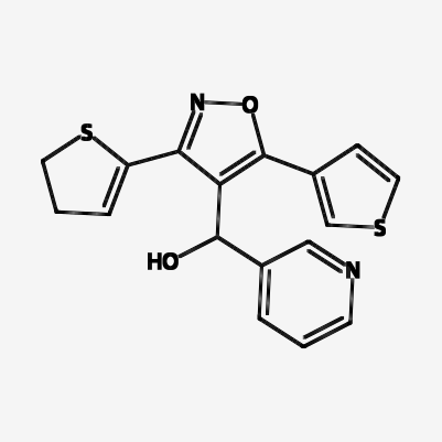 OC(c1cccnc1)c1c(C2=CCCS2)noc1-c1ccsc1